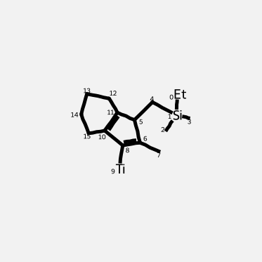 CC[Si](C)(C)CC1C(C)=[C]([Ti])C2=C1CCCC2